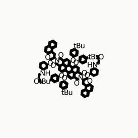 CC(C)(C)c1ccc(Oc2cc3c4c(cc(Oc5ccc(C(C)(C)C)cc5)c5c6c(Oc7ccc(C(C)(C)C)cc7)cc7c8c(cc(Oc9ccc(C(C)(C)C)cc9)c(c2c45)c86)C(=O)N(C(Cc2cccc4ccccc24)C(=O)OC2CCCC(NCC4CO4)C2)C7=O)C(=O)N(C(Cc2cccc4ccccc24)C(=O)OC2CCCC(NCC4CO4)C2)C3=O)cc1